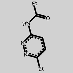 CCC(=O)Nc1ccc(CC)nn1